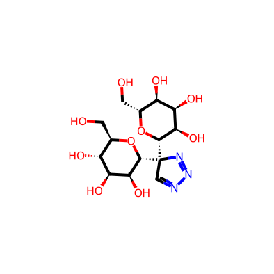 OC[C@H]1O[C@@H](C2([C@H]3O[C@H](CO)[C@@H](O)[C@H](O)[C@@H]3O)C=NN=N2)[C@H](O)[C@H](O)[C@@H]1O